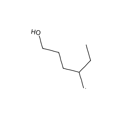 [CH2]C(CC)CCCO